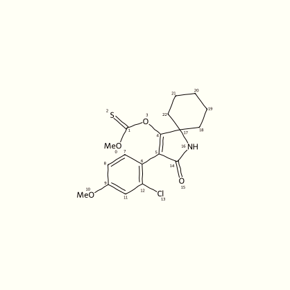 COC(=S)OC1=C(c2ccc(OC)cc2Cl)C(=O)NC12CCCCC2